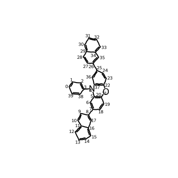 c1ccc(N2c3cc(-c4ccc5ccccc5c4)ccc3Oc3ccc(-c4ccc5ccccc5c4)cc32)cc1